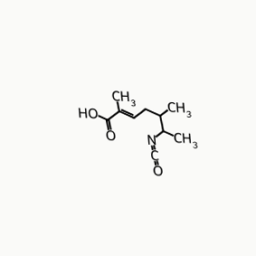 C/C(=C\CC(C)C(C)N=C=O)C(=O)O